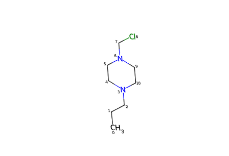 CCCN1CCN(CCl)CC1